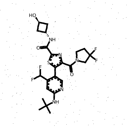 CC(C)(C)Nc1cc(C(F)F)c(-c2sc(C(=O)N[C@H]3C[C@H](O)C3)nc2C(=O)N2CCC(F)(F)C2)cn1